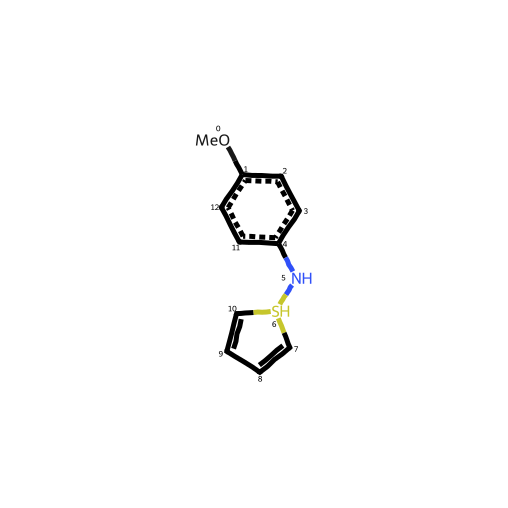 COc1ccc(N[SH]2C=CC=C2)cc1